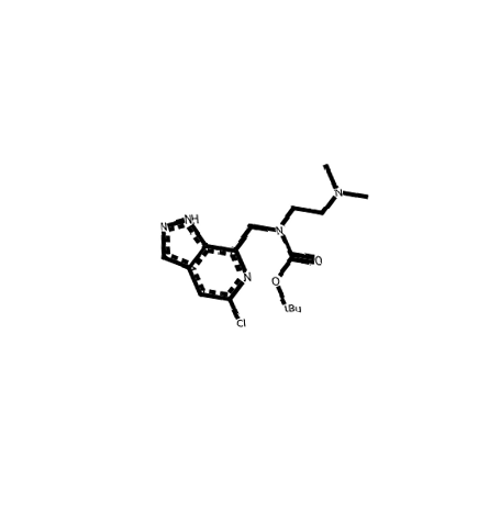 CN(C)CCN(Cc1nc(Cl)cc2cn[nH]c12)C(=O)OC(C)(C)C